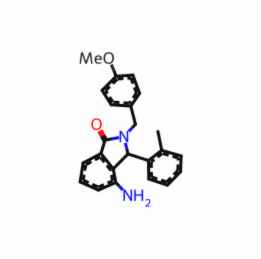 COc1ccc(CN2C(=O)c3cccc(N)c3C2c2ccccc2C)cc1